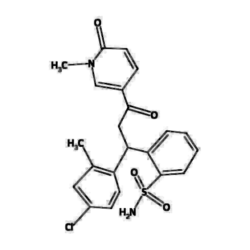 Cc1cc(Cl)ccc1C(CC(=O)c1ccc(=O)n(C)c1)c1ccccc1S(N)(=O)=O